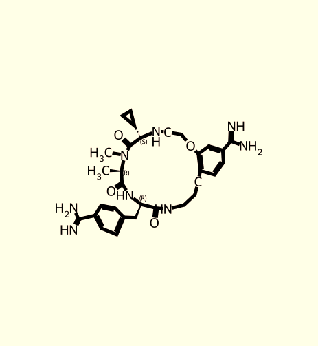 C[C@@H]1C(=O)N[C@H](Cc2ccc(C(=N)N)cc2)C(=O)NCCCc2ccc(C(=N)N)cc2OCCN[C@@H](C2CC2)C(=O)N1C